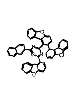 C1=Cc2oc3ccccc3c2C(c2ccc3oc4ccccc4c3c2-c2nc(-c3ccc4ccccc4c3)nc(-c3cccc4oc5ccccc5c34)n2)C1